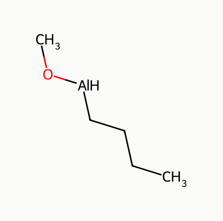 CCC[CH2][AlH][O]C